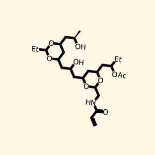 C=CC(=O)NCC1OC(CC(O)CC2CC(C[C@@H](C)O)OC(CC)O2)CC(CC(CC)OC(C)=O)O1